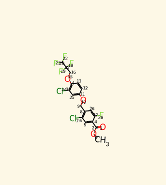 COC(=O)c1cc(Cl)c(COc2ccc(OCC(F)(F)C(F)F)c(Cl)c2)cc1F